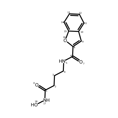 O=C(CCCNC(=O)c1cc2ccccc2o1)NO